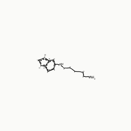 NCCCCCNc1ccc2ncsc2c1